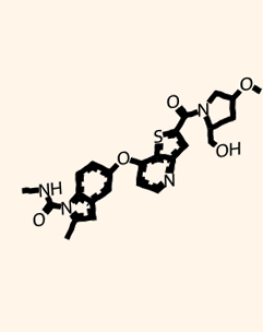 CNC(=O)n1c(C)cc2cc(Oc3ccnc4cc(C(=O)N5CC(OC)CC5CO)sc34)ccc21